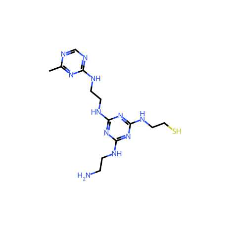 Cc1ncnc(NCCNc2nc(NCCN)nc(NCCS)n2)n1